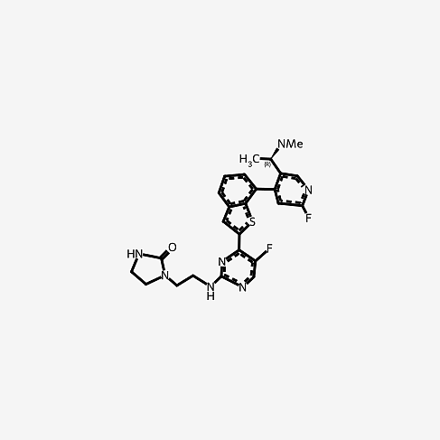 CN[C@H](C)c1cnc(F)cc1-c1cccc2cc(-c3nc(NCCN4CCNC4=O)ncc3F)sc12